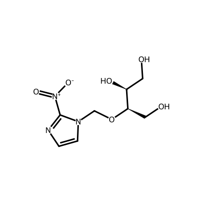 O=[N+]([O-])c1nccn1CO[C@H](CO)[C@@H](O)CO